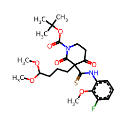 COc1c(F)cccc1NC(=S)C1(CCCC(OC)OC)C(=O)CCN(C(=O)OC(C)(C)C)C1=O